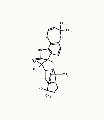 CN1C(=O)C23CC4C(C)(C)[C@@]5(C[C@@]41CN2CC[C@@]3(C)O)C(=O)Nc1c5ccc2c1OC=CC(C)(C)O2